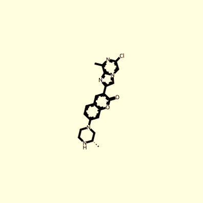 Cc1nc(Cl)cn2cc(-c3cc4ccc(N5CCN[C@@H](C)C5)cc4oc3=O)nc12